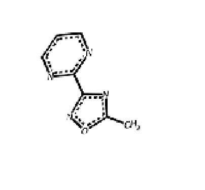 Cc1nc(-c2ncccn2)no1